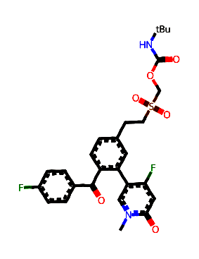 Cn1cc(-c2cc(CCS(=O)(=O)COC(=O)NC(C)(C)C)ccc2C(=O)c2ccc(F)cc2)c(F)cc1=O